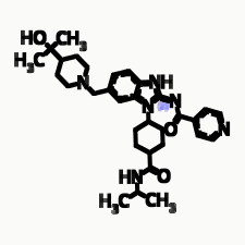 CC(C)NC(=O)C1CCC(n2/c(=N\C(=O)c3ccncc3)[nH]c3ccc(CN4CCC(C(C)(C)O)CC4)cc32)CC1